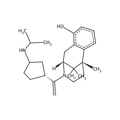 CC(C)NC1CC[C@@H](C(=O)N2CC[C@@]3(C)c4cccc(O)c4C[C@@H]2C3(C)C)C1